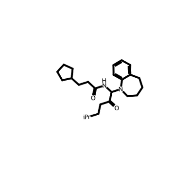 CC(C)CCC(=O)C(NC(=O)CCC1CCCC1)N1CCCCc2ccccc21